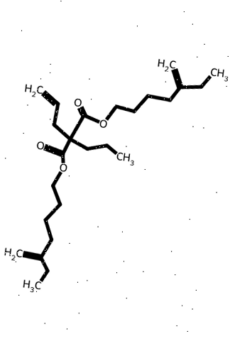 C=CCC(CCC)(C(=O)OCCCCC(=C)CC)C(=O)OCCCCC(=C)CC